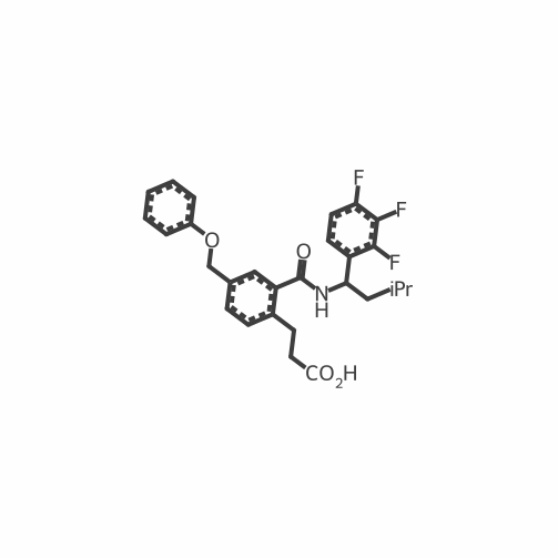 CC(C)CC(NC(=O)c1cc(COc2ccccc2)ccc1CCC(=O)O)c1ccc(F)c(F)c1F